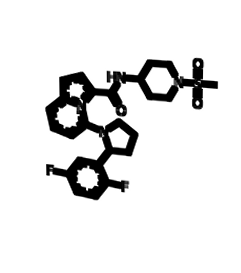 CS(=O)(=O)N1CCC(NC(=O)c2ccc3cccc(N4CCCC4c4cc(F)ccc4F)n23)CC1